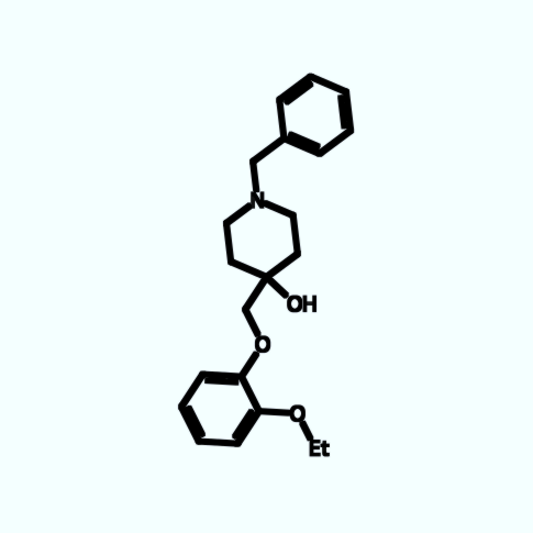 CCOc1ccccc1OCC1(O)CCN(Cc2ccccc2)CC1